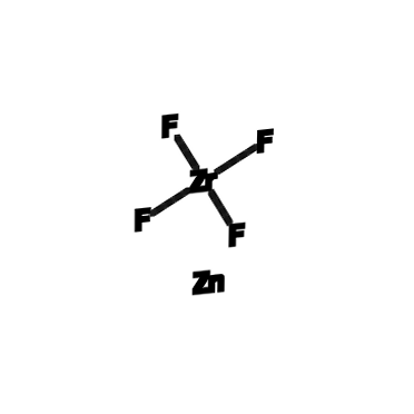 [F][Zr]([F])([F])[F].[Zn]